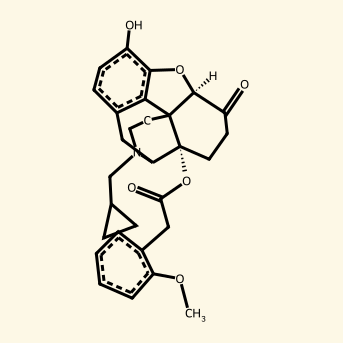 COc1ccccc1CC(=O)O[C@@]12CCC(=O)[C@@H]3Oc4c(O)ccc5c4C31CCN(CC1CC1)C2C5